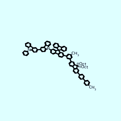 CCCCCCCCC1(CCCCCCCC)c2cc(-c3ccc(-c4ccc(C)cc4)cc3)ccc2-c2ccc(-c3cc(C)cc(-c4ccc5c(c4)C4(c6ccccc6-c6ccccc64)c4cc(-n6c7ccccc7c7cc(-c8ccc9c(c8)c8ccccc8n9-c8ccccc8)ccc76)ccc4-5)c3)cc21